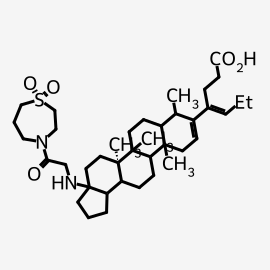 CC/C=C(\CCC(=O)O)C1=CCC2(C)C(CCC3(C)C2CCC2C4CCCC4(NCC(=O)N4CCCS(=O)(=O)CC4)CC[C@]23C)C1C